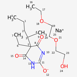 CCCC(C)C1(CC)C(=O)N=C([O-])NC1=O.CCOCCOCCO.[Na+]